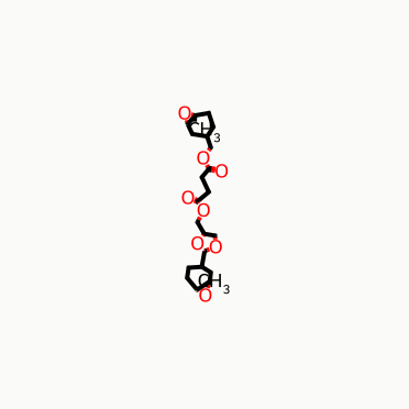 CC12CCC(COC(=O)CCC(=O)OCC3COC(C4CCC5(C)OC5C4)O3)CC1O2